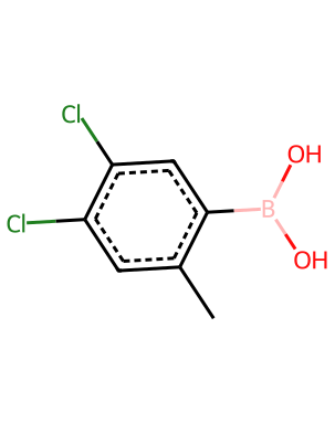 Cc1cc(Cl)c(Cl)cc1B(O)O